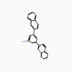 Ic1cc(-c2ccc3ccccc3c2)cc(-c2ccc3ccccc3c2)c1